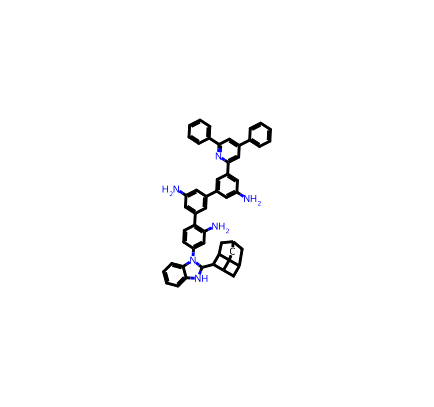 Nc1cc(-c2cc(N)cc(-c3ccc(N4c5ccccc5NC4C4C5CC6CC7CC4C75C6)cc3N)c2)cc(-c2cc(-c3ccccc3)cc(-c3ccccc3)n2)c1